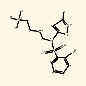 Cc1cc(N(COCC[Si](C)(C)C)S(=O)(=O)c2ccccc2Br)on1